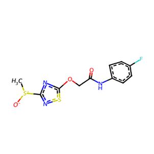 C[S+]([O-])c1nsc(OCC(=O)Nc2ccc(F)cc2)n1